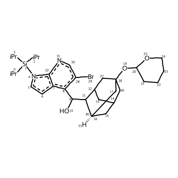 CC(C)[Si](C(C)C)(C(C)C)n1ccc2c(C(O)C3C4CC5C[C@@H]3CC(OC3CCCCO3)(C5)C4)c(Br)cnc21